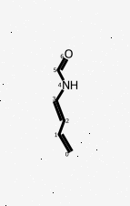 C=CC=CNC=O